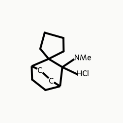 CNC1(C)C2CCC(CC2)C12CCCC2.Cl